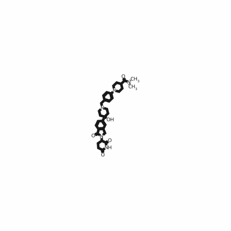 CN(C)C(=O)C1CCN(c2ccc(CN3CCC(O)(c4ccc5c(c4)CN(C4CCC(=O)NC4=O)C5=O)CC3)cc2)CC1